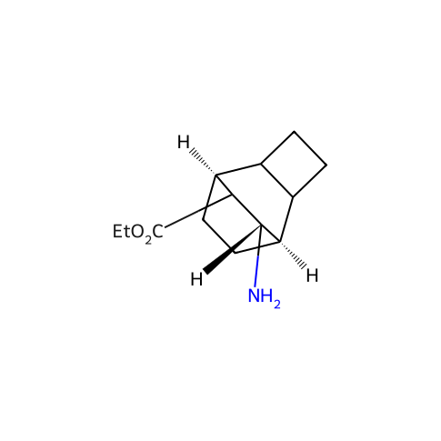 CCOC(=O)C1[C@H]2CC[C@H](C3CCC32)[C@@H]1N